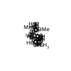 [2H]C1([2H])Oc2cc3c(cc2O1)[C@@H](O[C@@H]1O[C@H]2[C@@H](O[C@H](C)OC2([2H])[2H])[C@H](O)[C@H]1O)[C@@H]1[C@H](C(=O)OC1([2H])[2H])[C@@H]3c1cc(OC)c(OP(=O)(O)O)c(OC)c1